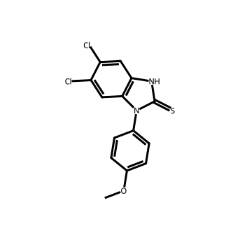 COc1ccc(-n2c(=S)[nH]c3cc(Cl)c(Cl)cc32)cc1